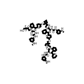 C=CC(C)(COc1ccc(C2=N[C@@H](NC(=O)Nc3cccc(NC)c3)C(=O)N(CC(=O)C3(COc4ccc(C5=N[C@@H](NC(=O)Nc6cccc(NC)c6)C(=O)N(CC(=O)C(F)(F)CO)c6ccccc65)nc4)CCC3)c3ccccc32)nc1)C(=O)CN1C(=O)[C@H](NC(=O)Nc2cccc(NC)c2)N=C(c2ccccn2)c2ccccc21